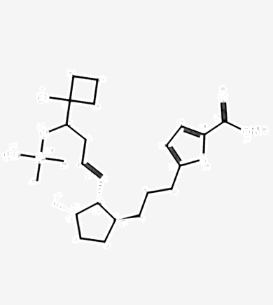 CCC1(C(C/C=C/[C@@H]2[C@@H](CCCc3ccc(C(=O)OC)s3)CC[C@@H]2C)O[Si](C)(C)C(C)(C)C)CCC1